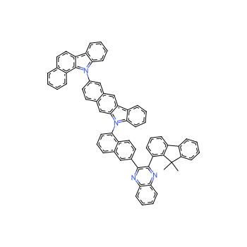 CC1(C)c2ccccc2-c2cccc(-c3nc4ccccc4nc3-c3ccc4c(-n5c6ccccc6c6cc7cc(-n8c9ccccc9c9ccc%10ccccc%10c98)ccc7cc65)cccc4c3)c21